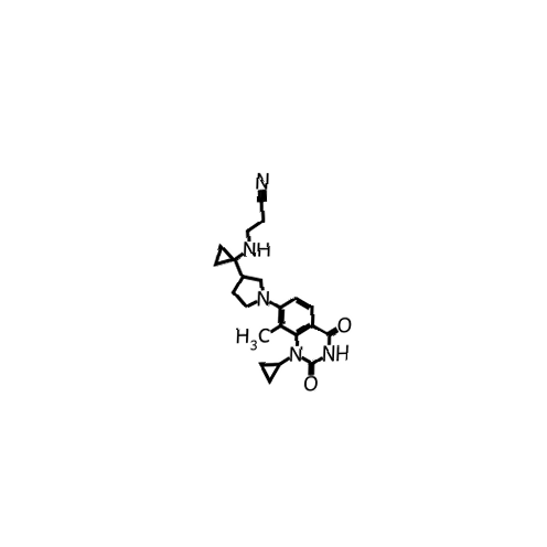 Cc1c(N2CCC(C3(NCCC#N)CC3)C2)ccc2c(=O)[nH]c(=O)n(C3CC3)c12